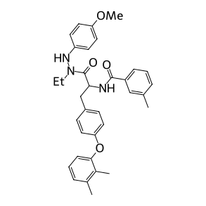 CCN(Nc1ccc(OC)cc1)C(=O)C(Cc1ccc(Oc2cccc(C)c2C)cc1)NC(=O)c1cccc(C)c1